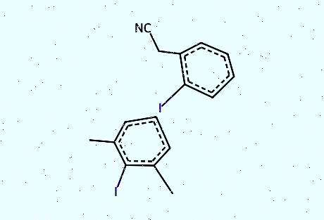 Cc1cccc(C)c1I.N#CCc1ccccc1I